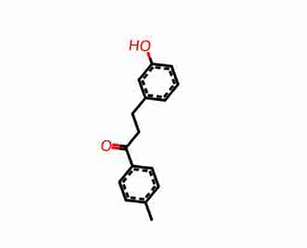 Cc1ccc(C(=O)CCc2cccc(O)c2)cc1